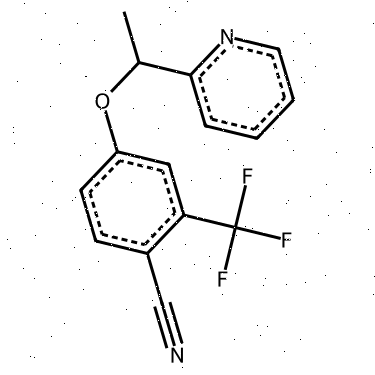 CC(Oc1ccc(C#N)c(C(F)(F)F)c1)c1ccccn1